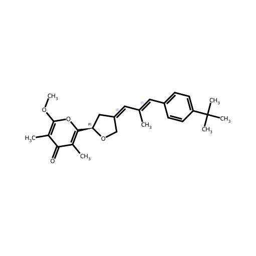 COc1oc([C@H]2C/C(=C/C(C)=C/c3ccc(C(C)(C)C)cc3)CO2)c(C)c(=O)c1C